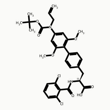 C=CCN(C(=O)OC(C)(C)C)c1cc(OC)c(-c2ccc(C[C@H](NC(=O)c3c(Cl)cccc3Cl)C(=O)O)cc2)c(OC)c1